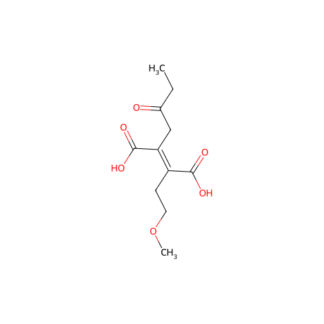 CCC(=O)CC(C(=O)O)=C(CCOC)C(=O)O